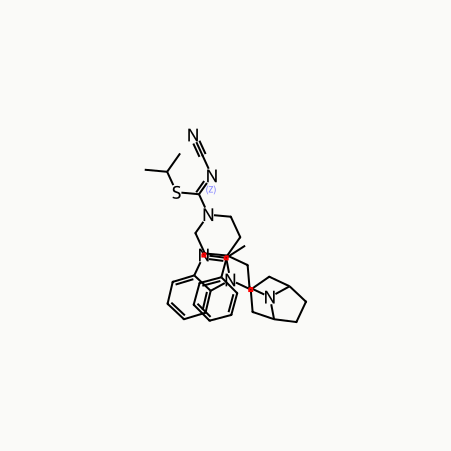 Cc1nc2ccccc2n1C1CC2CCC(C1)N2CCC1(c2ccccc2)CCN(/C(=N/C#N)SC(C)C)CC1